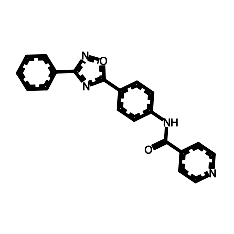 O=C(Nc1ccc(-c2nc(-c3ccccc3)no2)cc1)c1ccncc1